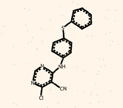 N#Cc1c(Cl)ncnc1Nc1ccc(Sc2ccccc2)cc1